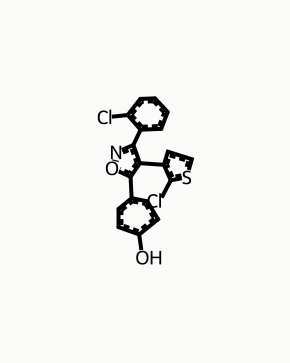 Oc1ccc(-c2onc(-c3ccccc3Cl)c2-c2ccsc2Cl)cc1